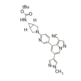 Cn1cc(-c2cc(-c3ccc(N4C[C@@H]5[C@H](C4)[C@H]5NC(=O)OC(C)(C)C)nc3)c3c(C#N)cnn3c2)cn1